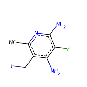 N#Cc1nc(N)c(F)c(N)c1CI